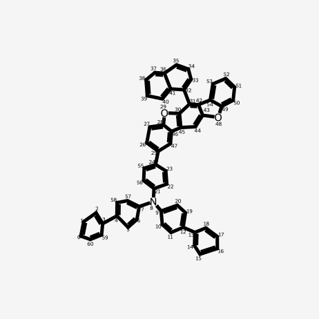 c1ccc(-c2ccc(N(c3ccc(-c4ccccc4)cc3)c3ccc(-c4ccc5oc6c(-c7cccc8ccccc78)c7c(cc6c5c4)oc4ccccc47)cc3)cc2)cc1